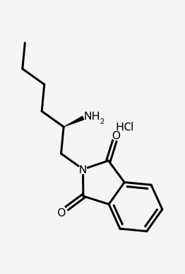 CCCC[C@@H](N)CN1C(=O)c2ccccc2C1=O.Cl